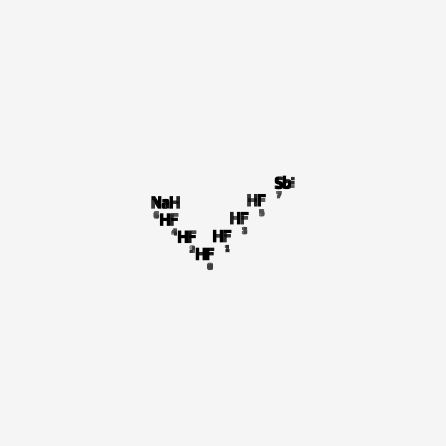 F.F.F.F.F.F.[NaH].[Sb]